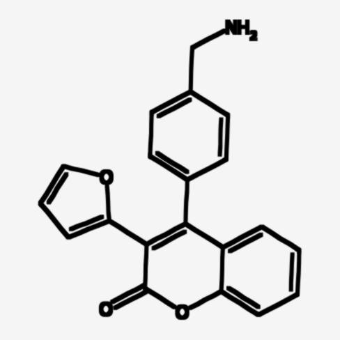 NCc1ccc(-c2c(-c3ccco3)c(=O)oc3ccccc23)cc1